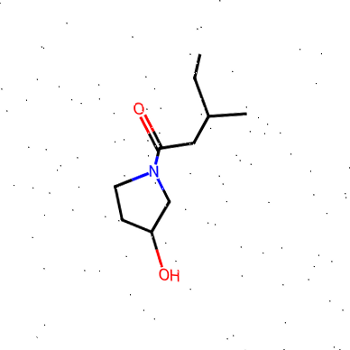 CCC(C)CC(=O)N1CCC(O)C1